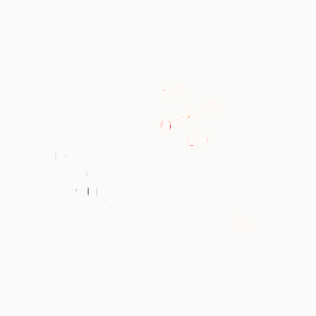 CC(C)CCCCCCc1ccccc1O.O=P(O)(O)O